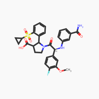 COc1cc([C@H](Nc2cccc(C(N)=O)c2)C(=O)N2CCC(C(=O)O)C2c2ccccc2S(=O)(=O)C2CC2)ccc1F